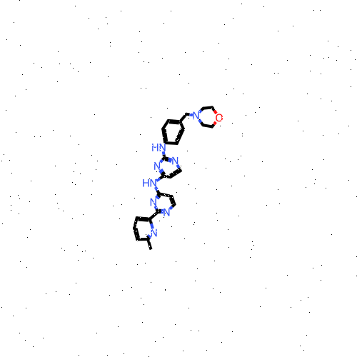 Cc1cccc(-c2nccc(Nc3ccnc(Nc4ccc(CN5CCOCC5)cc4)n3)n2)n1